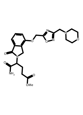 COC(=O)CCC(C(N)=O)N1Cc2c(OCc3nc(CN4CCOCC4)no3)cccc2C1=O